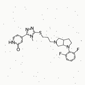 Cn1c(SCCCN2CC3CCN(c4c(F)cccc4F)C3C2)nnc1-c1cc[nH]c(=O)c1